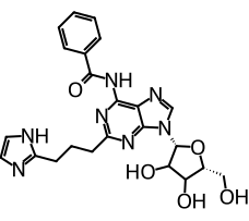 O=C(Nc1nc(CCCc2ncc[nH]2)nc2c1ncn2[C@@H]1O[C@H](CO)C(O)C1O)c1ccccc1